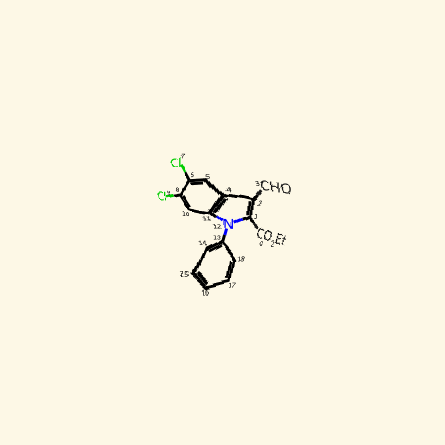 CCOC(=O)c1c(C=O)c2cc(Cl)c(Cl)cc2n1-c1ccccc1